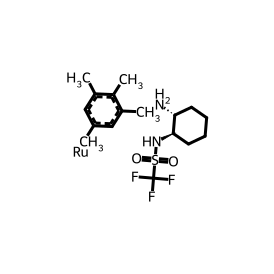 Cc1cc(C)c(C)c(C)c1.N[C@@H]1CCCC[C@H]1NS(=O)(=O)C(F)(F)F.[Ru]